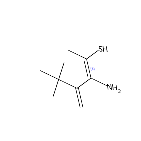 C=C(/C(N)=C(\C)S)C(C)(C)C